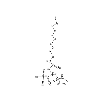 CCCCCCCCCCOC(=O)CN(CP(=S)(OC)OC)C(=O)C(F)(F)F